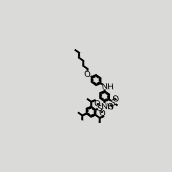 CCCCCCOc1ccc(Nc2ccc(NS(=O)(=O)c3c(C(C)C)cc(C(C)C)cc3C(C)C)c(S(C)(=O)=O)c2)cc1